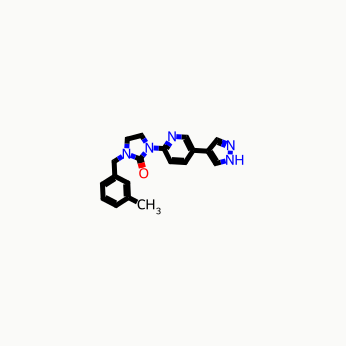 Cc1cccc(CN2CCN(c3ccc(-c4cn[nH]c4)cn3)C2=O)c1